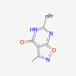 CCCc1nc2onc(C)c2c(=O)[nH]1